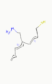 C=C/C=C(\C=C/CS)CN